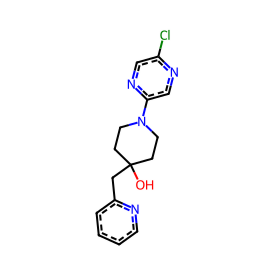 OC1(Cc2ccccn2)CCN(c2cnc(Cl)cn2)CC1